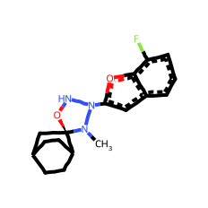 CN1N(c2cc3cccc(F)c3o2)NO[C@@]12CC1CCC2CC1